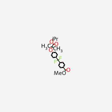 COC(=O)c1ccc(C(F)(F)c2ccc(OC(C)(C)C(=O)OC(C)C)cc2)cc1